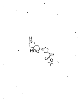 CC(C)(C)OC(=O)NC1CCN(C(=O)CC2CNCCC2O)C1